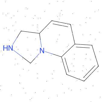 C1=CC2CNCN2c2ccccc21